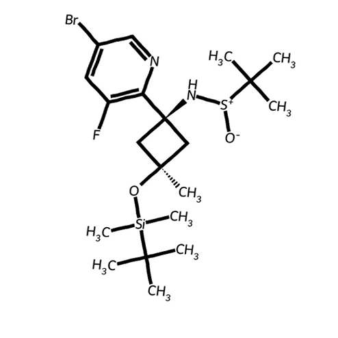 CC(C)(C)[S+]([O-])N[C@]1(c2ncc(Br)cc2F)C[C@](C)(O[Si](C)(C)C(C)(C)C)C1